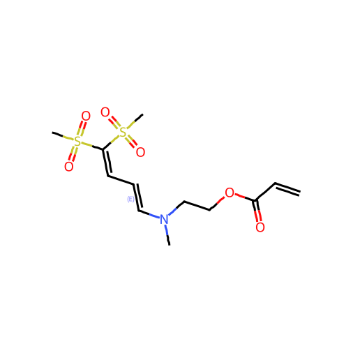 C=CC(=O)OCCN(C)/C=C/C=C(S(C)(=O)=O)S(C)(=O)=O